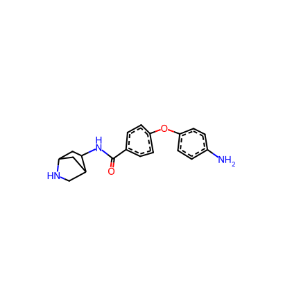 Nc1ccc(Oc2ccc(C(=O)NC3CC4CC3CN4)cc2)cc1